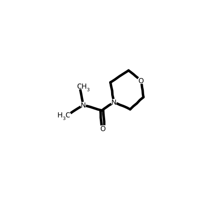 CN(C)C(=O)N1CCOCC1